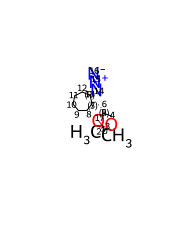 CC1(C)OC[C@@H](C[C@@H]2CCCCC[C@H]2N=[N+]=[N-])O1